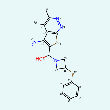 Cc1nnc2sc(C(O)N3CC(Sc4ccccc4)C3)c(N)c2c1C